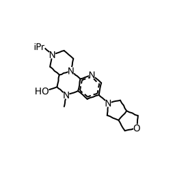 CC(C)N1CCN2c3ncc(N4CC5COCC5C4)cc3N(C)C(O)C2C1